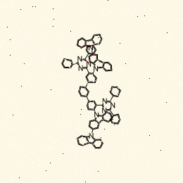 c1ccc(-c2nc(-c3ccccc3)nc(-c3cc(-c4cccc(-c5ccc(-n6c7ccccc7c7cc(-n8c9ccccc9c9ccccc98)ccc76)c(-c6nc(-c7ccccc7)nc(-c7ccccc7)n6)c5)c4)ccc3-n3c4ccccc4c4cc(-n5c6ccccc6c6ccccc65)ccc43)n2)cc1